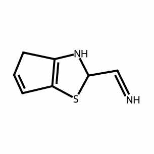 N=CC1NC2=C(C=CC2)S1